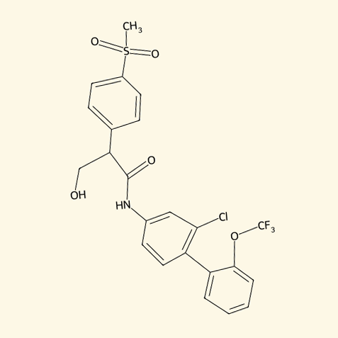 CS(=O)(=O)c1ccc(C(CO)C(=O)Nc2ccc(-c3ccccc3OC(F)(F)F)c(Cl)c2)cc1